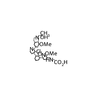 COc1cc(-c2nccc(-c3cccc(-c4ccc(CNCC(=O)O)c(OC)n4)c3Cl)c2Cl)cc2c1CN(C[C@@H](C)O)CC2